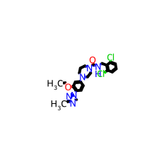 CCOc1cc(N2CCCN(C(=O)NCc3c(Cl)cccc3Cl)CC2)ccc1-n1cnc(C)n1